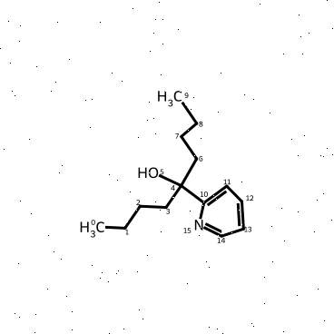 CCCCC(O)(CCCC)c1ccccn1